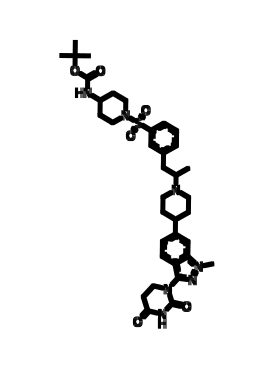 CC(Cc1cccc(S(=O)(=O)N2CCC(NC(=O)OC(C)(C)C)CC2)c1)N1CCC(c2ccc3c(N4CCC(=O)NC4=O)nn(C)c3c2)CC1